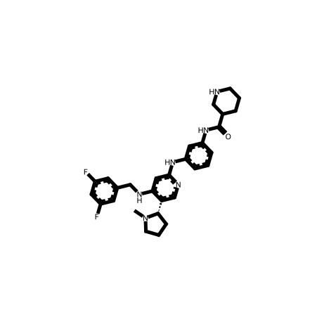 CN1CCC[C@H]1c1cnc(Nc2cccc(NC(=O)C3CCCNC3)c2)cc1NCc1cc(F)cc(F)c1